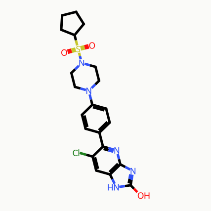 O=S(=O)(C1CCCC1)N1CCN(c2ccc(-c3nc4nc(O)[nH]c4cc3Cl)cc2)CC1